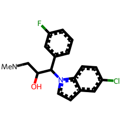 CNCC(O)C(c1cccc(F)c1)n1ccc2cc(Cl)ccc21